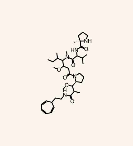 CCC(C)C(C(CC(=O)N1CCC[C@H]1C(OC)C(C)C(=O)NCCC1C=CC=CC=C1)OC)N(C)C(=O)C(NC(=O)[C@@]1(C)CCCN1)C(C)C